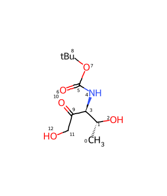 C[C@@H](O)[C@H](NC(=O)OC(C)(C)C)C(=O)CO